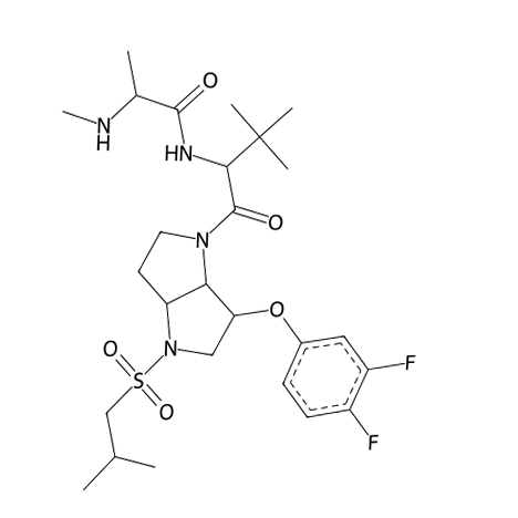 CNC(C)C(=O)NC(C(=O)N1CCC2C1C(Oc1ccc(F)c(F)c1)CN2S(=O)(=O)CC(C)C)C(C)(C)C